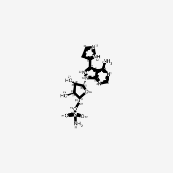 Nc1ncnc2c1c(-c1ccn[nH]1)nn2[C@@H]1O[C@H](COS(N)(=O)=O)[C@@H](O)[C@H]1O